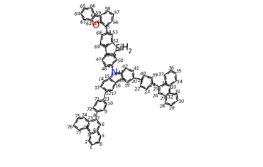 c1ccc2c(c1)cc(-c1ccc(-c3ccc4c(c3)c3cc(-c5ccc(-c6cc7ccccc7c7ccccc67)cc5)ccc3n4-c3ccc4c(c3)[SiH2]c3cc(-c5cccc6c5oc5ccccc56)ccc3-4)cc1)c1ccccc12